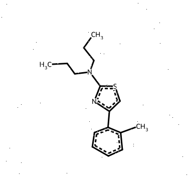 CCCN(CCC)c1nc(-c2ccccc2C)cs1